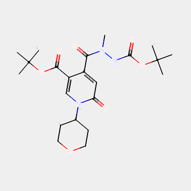 CN(NC(=O)OC(C)(C)C)C(=O)c1cc(=O)n(C2CCOCC2)cc1C(=O)OC(C)(C)C